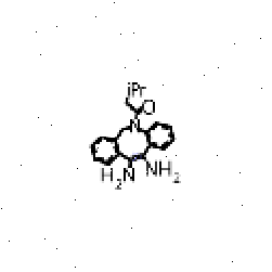 CC(C)CC(=O)N1Cc2ccccc2/C(N)=C(/N)c2ccccc21